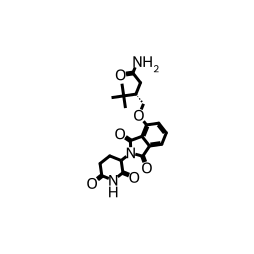 CC(C)(C)[C@@H](COc1cccc2c1C(=O)N(C1CCC(=O)NC1=O)C2=O)CC(N)=O